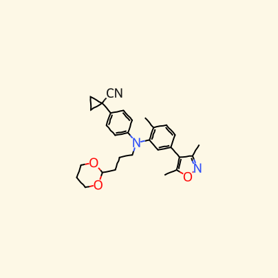 Cc1ccc(-c2c(C)noc2C)cc1N(CCCC1OCCCO1)c1ccc(C2(C#N)CC2)cc1